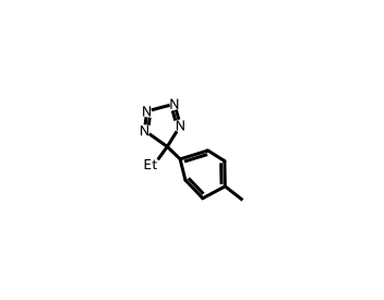 [CH2]CC1(c2ccc(C)cc2)N=NN=N1